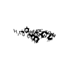 C=CC(=O)N1CCCC(NC(=O)c2sc3nccc4c3c2NC(=O)N4c2cnc(Oc3cccnn3)cc2C)C1